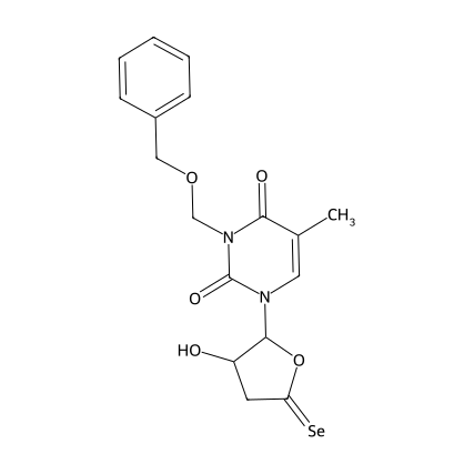 Cc1cn(C2OC(=[Se])CC2O)c(=O)n(COCc2ccccc2)c1=O